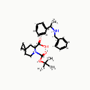 CC(C)(C)OC(=O)N1CCC2(CC2)CC1C(=O)O.CC(NCc1ccccc1)c1ccccc1